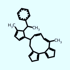 CC1=CC=C(C2/C=C\C=C(/C)C3=CCC=C3C3=CCC=C3C2)C1C(C)c1ccccc1